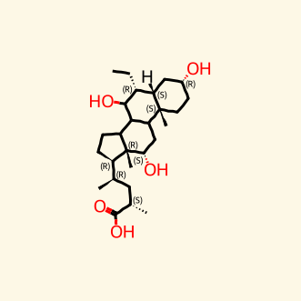 CC[C@H]1C(O)C2C3CC[C@H]([C@H](C)C[C@H](C)C(=O)O)[C@@]3(C)[C@@H](O)CC2[C@@]2(C)CC[C@@H](O)C[C@@H]12